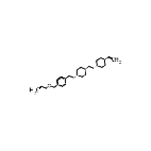 C=CCOCc1ccc(CC[C@H]2CC[C@H](CC[C@H]3CC[C@H](C=C)CC3)CC2)cc1